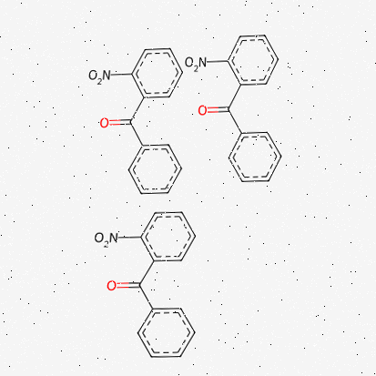 O=C(c1ccccc1)c1ccccc1[N+](=O)[O-].O=C(c1ccccc1)c1ccccc1[N+](=O)[O-].O=C(c1ccccc1)c1ccccc1[N+](=O)[O-]